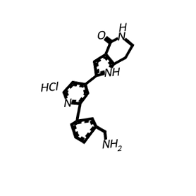 Cl.NCc1cccc(-c2cc(-c3cc4c([nH]3)CCNC4=O)ccn2)c1